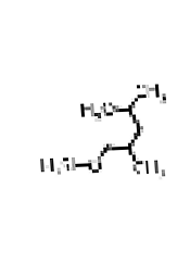 CC(C)CC(C)CO[SiH3]